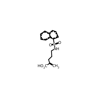 C=C(CCCNS(=O)(=O)c1cccc2ccccc12)C(=O)O